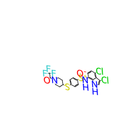 O=C(N1CCC(Sc2ccc([S+]([O-])Nc3ccc(Cl)c4c(Cl)c[nH]c34)cc2)CC1)C(F)(F)F